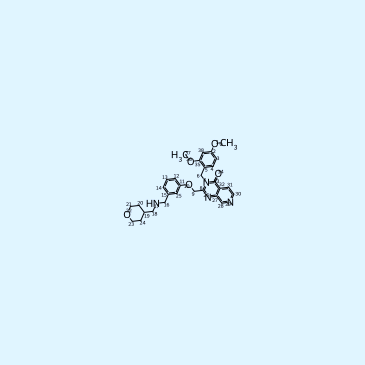 COc1ccc(Cn2c(COc3cccc(CNCC4CCOCC4)c3)nc3cnccc3c2=O)c(OC)c1